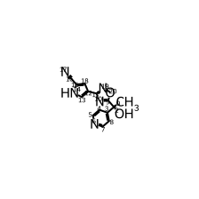 CC(O)(c1ccncc1)c1nc(-c2c[nH]c(C#N)c2)no1